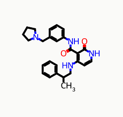 CC(CNc1cc[nH]c(=O)c1C(=O)Nc1cccc(CN2CCCC2)c1)c1ccccc1